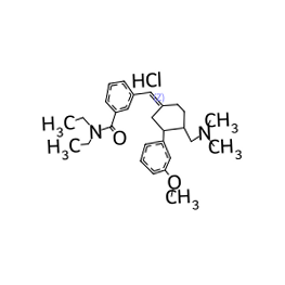 CCN(CC)C(=O)c1cccc(/C=C2/CCC(CN(C)C)C(c3cccc(OC)c3)C2)c1.Cl